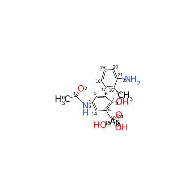 CC(=O)Nc1ccc(O)c([As](=O)(O)O)c1.Cc1ccccc1N